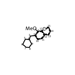 COc1c(CC2CCCCC2)ccc2ccccc12